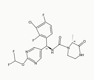 C[C@@H]1C(=O)NCCN1C(=O)N[C@@H](c1cnc(OC(F)F)nc1)c1ccc(F)c(Cl)c1F